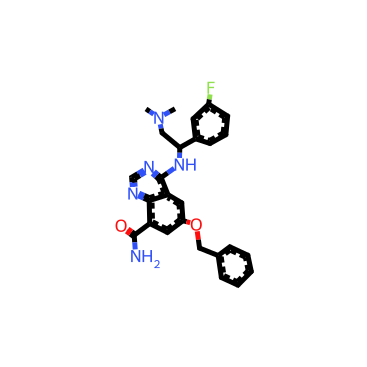 CN(C)CC(Nc1ncnc2c(C(N)=O)cc(OCc3ccccc3)cc12)c1cccc(F)c1